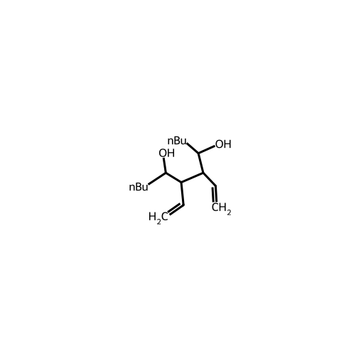 C=CC(C(O)CCCC)C(C=C)C(O)CCCC